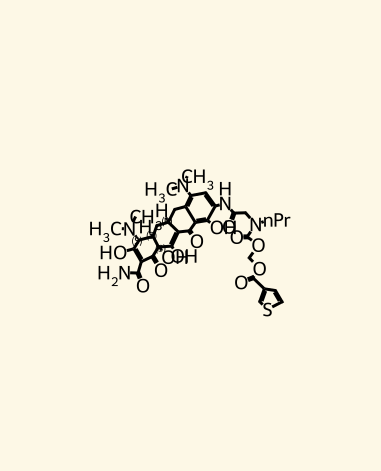 CCCN(CC(=O)Nc1cc(N(C)C)c2c(c1O)C(=O)C1=C(O)[C@]3(O)C(=O)C(C(N)=O)=C(O)[C@@H](N(C)C)[C@@H]3C[C@@H]1C2)C(=O)OCOC(=O)c1ccsc1